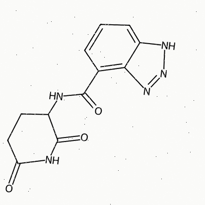 O=C1CCC(NC(=O)c2cccc3[nH]nnc23)C(=O)N1